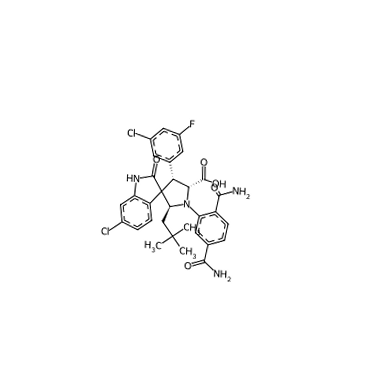 CC(C)(C)C[C@@H]1N(c2cc(C(N)=O)ccc2C(N)=O)[C@@H](C(=O)O)[C@@H](c2cc(F)cc(Cl)c2)C12C(=O)Nc1cc(Cl)ccc12